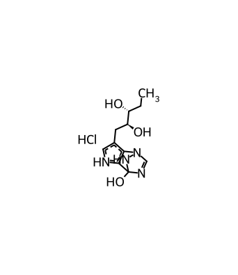 CC[C@@H](O)[C@@H](O)Cc1c[nH]c2c1N1C=NC2(O)N1.Cl